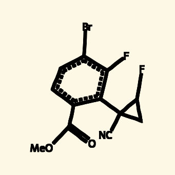 COC(=O)c1ccc(Br)c(F)c1C1(C#N)CC1F